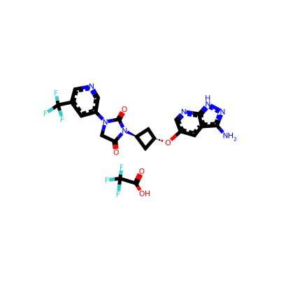 Nc1n[nH]c2ncc(O[C@H]3C[C@H](N4C(=O)CN(c5cncc(C(F)(F)F)c5)C4=O)C3)cc12.O=C(O)C(F)(F)F